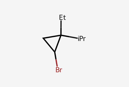 CCC1(C(C)C)CC1Br